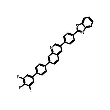 Fc1cc(-c2ccc(-c3ccc4cc(-c5ccc(-c6nc7ccccc7s6)cc5)cnc4c3)cc2)cc(F)c1F